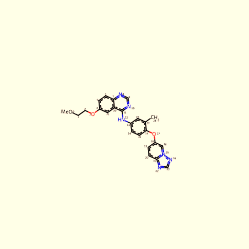 COCCOc1ccc2ncnc(Nc3ccc(Oc4ccc5ncnn5c4)c(C)c3)c2c1